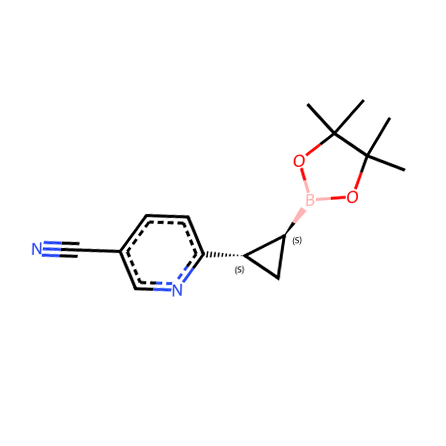 CC1(C)OB([C@H]2C[C@@H]2c2ccc(C#N)cn2)OC1(C)C